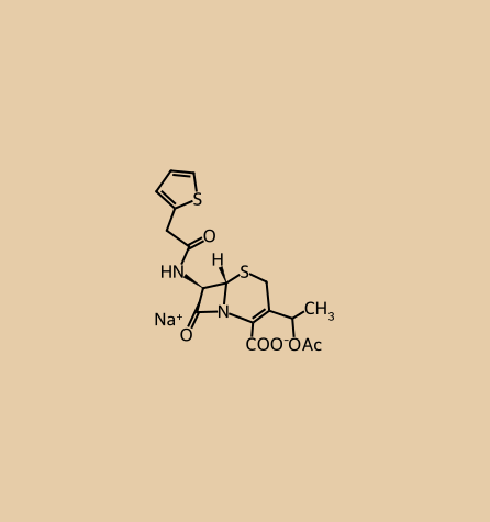 CC(=O)OC(C)C1=C(C(=O)[O-])N2C(=O)[C@@H](NC(=O)Cc3cccs3)[C@@H]2SC1.[Na+]